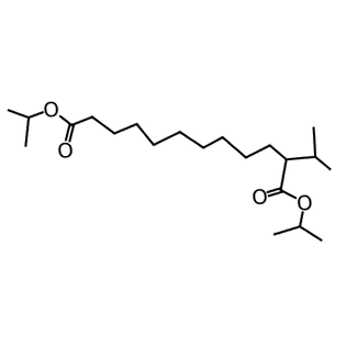 CC(C)OC(=O)CCCCCCCCCC(C(=O)OC(C)C)C(C)C